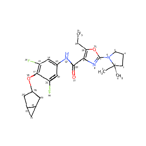 CC1(C)CCCN1c1nc(C(=O)Nc2cc(F)c(OC3CC4CC4C3)c(F)c2)c(CC(F)(F)F)o1